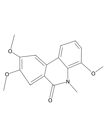 COc1cc2c(=O)n(C)c3c(OC)cccc3c2cc1OC